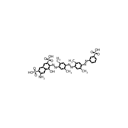 Cc1cc(N=Nc2cc(C)c(N=Nc3c(S(=O)(=O)O)cc4cc(S(=O)(=O)O)c(N)cc4c3O)cc2C)c(C)cc1N=Nc1cccc(S(=O)(=O)O)c1